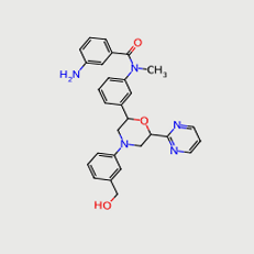 CN(C(=O)c1cccc(N)c1)c1cccc(C2CN(c3cccc(CO)c3)CC(c3ncccn3)O2)c1